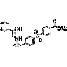 COC(=O)c1ccc(S(=O)(=O)c2ccc(C[C@@H](C)NC[C@@H](O)c3cccnc3)cc2)cc1